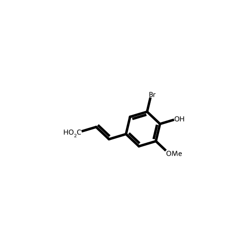 COc1cc(/C=C/C(=O)O)cc(Br)c1O